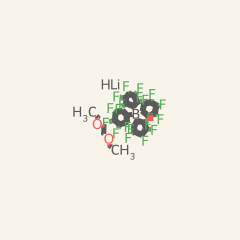 CCOCCOCC.Fc1c(F)c(F)c([B-](c2c(F)c(F)c(F)c(F)c2F)(c2c(F)c(F)c(F)c(F)c2F)c2c(F)c(F)c(F)c(F)c2F)c(F)c1F.[LiH]